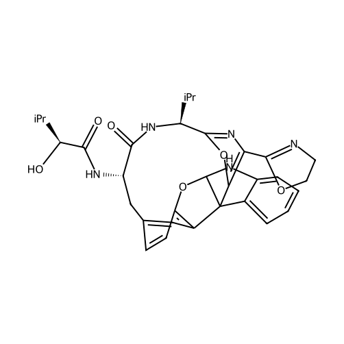 CC(C)[C@H](O)C(=O)N[C@H]1Cc2ccc3c(c2)C2(c4ccccc4NC2O3)c2oc(nc2C2=NCCO2)[C@H](C(C)C)NC1=O